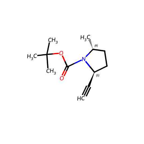 C#C[C@@H]1CC[C@@H](C)N1C(=O)OC(C)(C)C